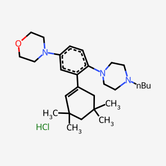 CCCCN1CCN(c2ccc(N3CCOCC3)cc2C2=CC(C)(C)CC(C)(C)C2)CC1.Cl